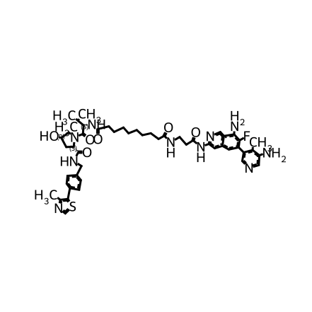 Cc1ncsc1-c1ccc(CNC(=O)[C@@H]2C[C@@H](O)CN2C(=O)[C@@H](NC(=O)CCCCCCCCC(=O)NCCC(=O)Nc2cc3cc(-c4cncc(N)c4C)c(F)c(N)c3cn2)C(C)(C)C)cc1